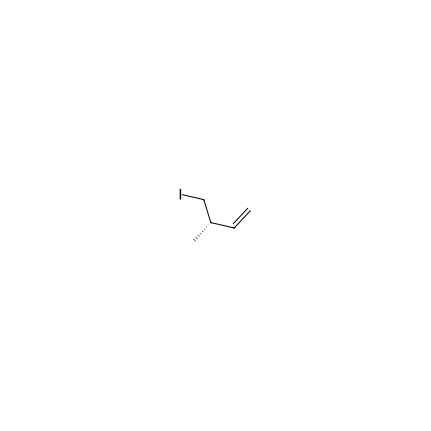 C=C[C@H](C)CI